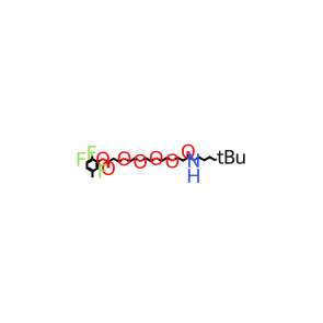 Cc1cc(F)c(F)c(OC(=O)CCOCCOCCOCCOCCC(=O)NCCCCC(C)(C)C)c1F